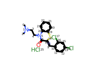 CN(C)CCN1C(=O)/C(=C/c2ccc(Cl)cc2Cl)Sc2ccccc21.Cl